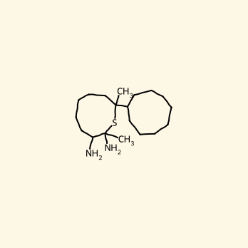 CC1(N)SC(C)(C2CCCCCCCC2)CCCCCC1N